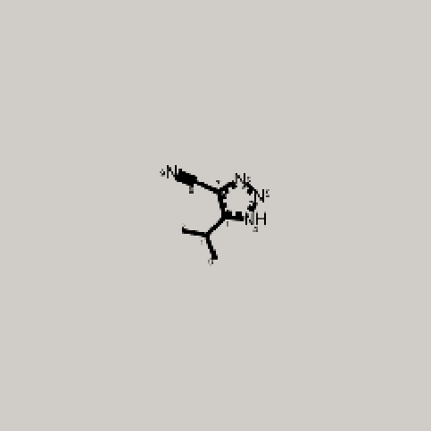 CC(C)c1[nH]nnc1C#N